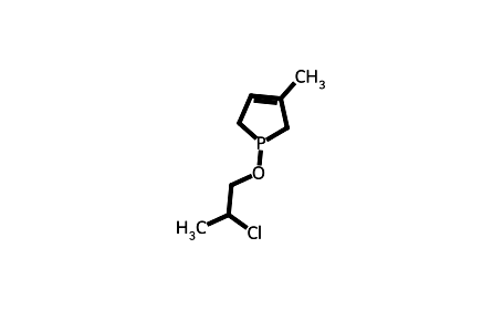 CC1=CCP(OCC(C)Cl)C1